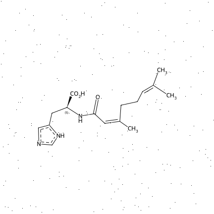 CC(C)=CCCC(C)=CC(=O)N[C@@H](Cc1cnc[nH]1)C(=O)O